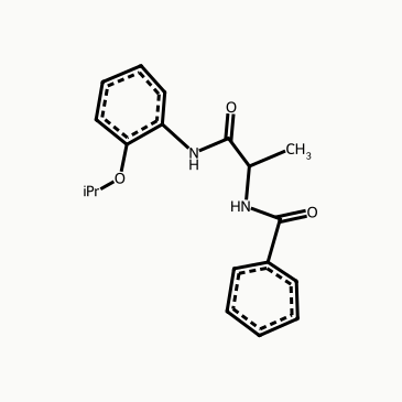 CC(C)Oc1ccccc1NC(=O)C(C)NC(=O)c1ccccc1